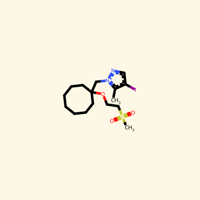 Cc1c(I)cnn1CC1(OCCS(C)(=O)=O)CCCCCCC1